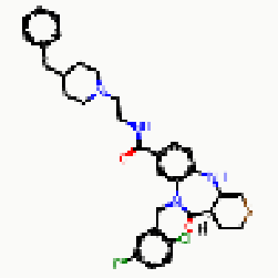 O=C(NCCN1CCC(Cc2ccccc2)CC1)c1ccc2c(c1)N(Cc1cc(F)ccc1Cl)C(=O)[C@@H]1CCSC=C1N2